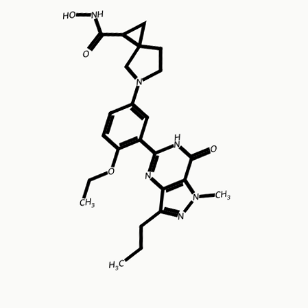 CCCc1nn(C)c2c(=O)[nH]c(-c3cc(N4CCC5(CC5C(=O)NO)C4)ccc3OCC)nc12